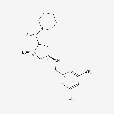 CC[C@@H]1C[C@H](NCc2cc(C(F)(F)F)cc(C(F)(F)F)c2)CN1C(=O)N1CCCCC1